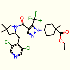 CCOC(=O)[C@]1(C)CC[C@@H](n2ncc(C(=O)N3CC(C)(C)C[C@@H]3Cc3c(Cl)cncc3Cl)c2C(F)(F)F)CC1